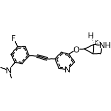 CN(C)c1cc(F)cc(C#Cc2cncc(OC3C4CN[C@@H]43)c2)c1